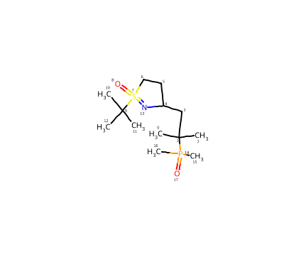 CC(C)(CC1CCS(=O)(C(C)(C)C)=N1)P(C)(C)=O